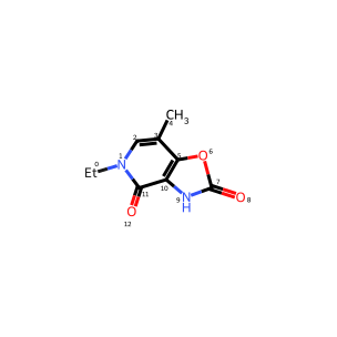 CCn1cc(C)c2oc(=O)[nH]c2c1=O